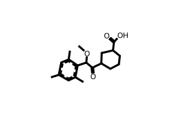 COC(C(=O)C1CCCC(C(=O)O)C1)c1c(C)cc(C)cc1C